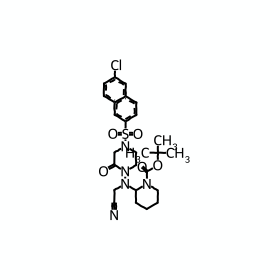 CC(C)(C)OC(=O)N1CCCCC1N(CC#N)N1CCN(S(=O)(=O)c2ccc3cc(Cl)ccc3c2)CC1=O